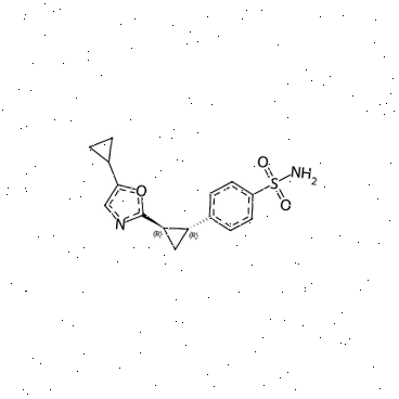 NS(=O)(=O)c1ccc([C@@H]2C[C@H]2c2ncc(C3CC3)o2)cc1